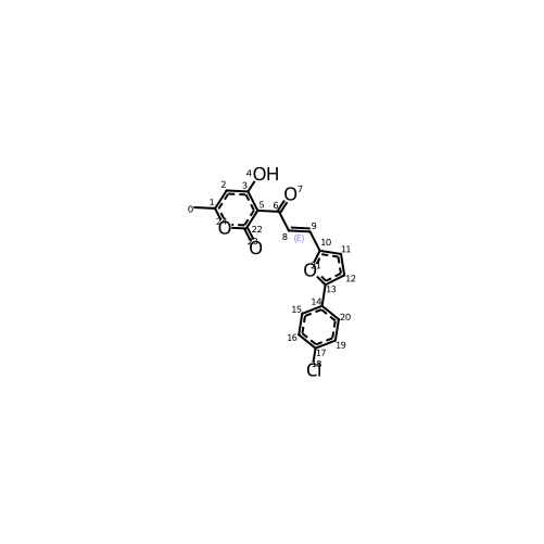 Cc1cc(O)c(C(=O)/C=C/c2ccc(-c3ccc(Cl)cc3)o2)c(=O)o1